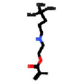 C=C(C)C(=O)OCCNCCC[Si](OC)(OC)OC